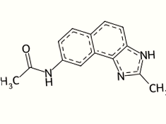 CC(=O)Nc1ccc2ccc3[nH]c(C)nc3c2c1